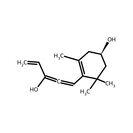 C=CC(O)=C=CC1=C(C)C[C@@H](O)CC1(C)C